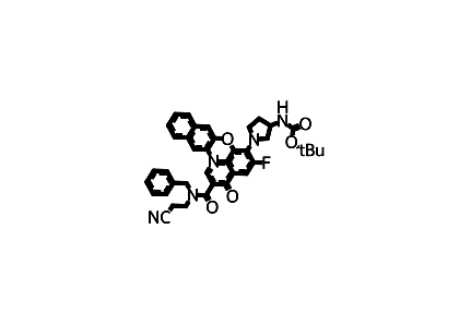 CC(C)(C)OC(=O)NC1CCN(c2c(F)cc3c(=O)c(C(=O)N(CCC#N)Cc4ccccc4)cn4c3c2Oc2cc3ccccc3cc2-4)C1